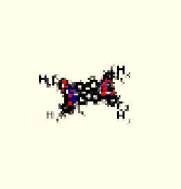 CC1=C=C=C(N(c2ccc(C)cc2)c2ccc3c(c2)C2(c4cc(N(C5=CC=C(C)CC5)c5ccc(C)cc5)ccc4-c4ccc(N(c5ccc(C)cc5)c5ccc(C)cc5)cc42)c2cc(N(c4ccc(C)cc4)c4ccc(C)cc4)ccc2-3)C=C1